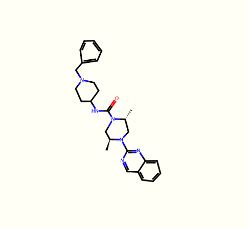 C[C@@H]1CN(c2ncc3ccccc3n2)[C@@H](C)CN1C(=O)NC1CCN(Cc2ccccc2)CC1